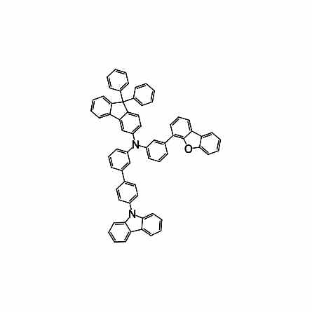 c1ccc(C2(c3ccccc3)c3ccccc3-c3cc(N(c4cccc(-c5ccc(-n6c7ccccc7c7ccccc76)cc5)c4)c4cccc(-c5cccc6c5oc5ccccc56)c4)ccc32)cc1